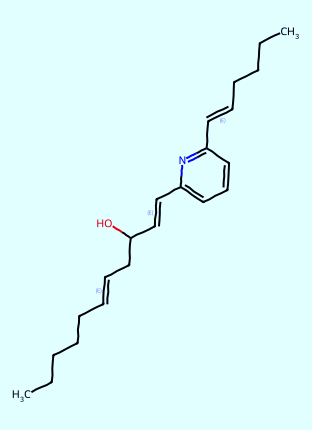 CCCC/C=C/c1cccc(/C=C/C(O)C/C=C/CCCCC)n1